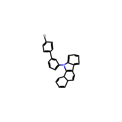 CCc1ccc(-c2cccc(-n3c4c(c5ccccc53)C=CC3C=CC=CC43)c2)cc1